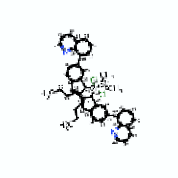 CCCCC1=Cc2ccc(-c3cccc4cccnc34)cc2[CH]1[Zr]([Cl])([Cl])([CH]1C(CCCC)=Cc2ccc(-c3cccc4cccnc34)cc21)[SiH](C)C